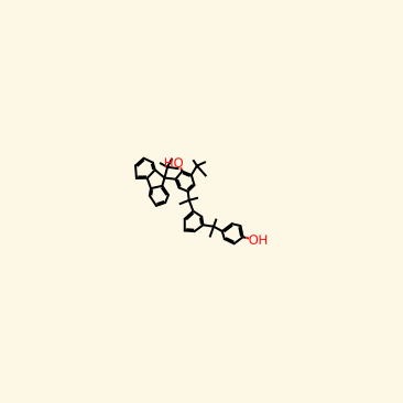 CC(C)(C)c1cc(C(C)(C)c2cccc(C(C)(C)c3ccc(O)cc3)c2)cc(C2(C(C)(C)C)c3ccccc3-c3ccccc32)c1O